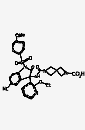 CCOc1ncccc1C1(NC(=O)N2CC3(CN(C(=O)O)C3)C2)C(=O)N(S(=O)(=O)c2ccc(OC)cc2)c2ccc(C#N)cc21